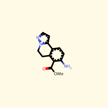 COC(=O)c1c(N)ccc2c1CCn1nccc1-2